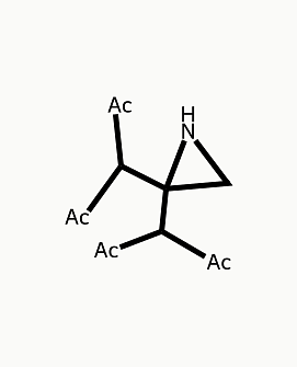 CC(=O)C(C(C)=O)C1(C(C(C)=O)C(C)=O)CN1